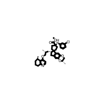 COC(=O)C1(Nc2cccc(Cl)c2)CCC2(CC1)c1cc3c(cc1C[C@@H]2C[C@@H](C)COc1ccnc2c1[C@H](C)CCC2)O[C@@H](C)CO3